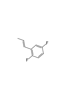 C/C=C/c1cc(F)ccc1F